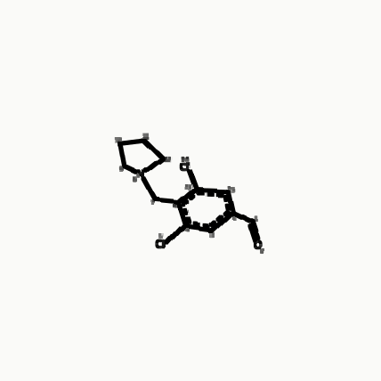 O=Cc1cc(Cl)c(CN2CCCC2)c(Cl)c1